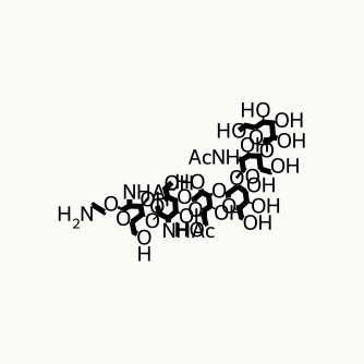 CC(=O)NC1[C@H](OCCN)OC(CO)[C@@H](O[C@@H]2OC(CO)[C@@H](O[C@@H]3OC(CO)[C@@H](O)[C@H](O[C@H]4OC(CO)[C@@H](O)C(O)C4O[C@@H]4OC(CO)[C@@H](O[C@@H]5OC(CO)[C@H](O)[C@H](O)C5O)[C@H](O)C4NC(C)=O)C3O)[C@H](O)C2NC(C)=O)[C@@H]1O